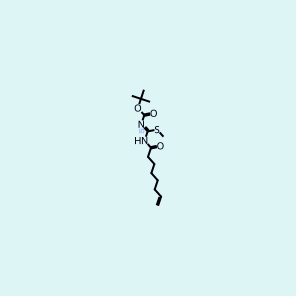 C=CCCCCCC(=O)N/C(=N/C(=O)OC(C)(C)C)SC